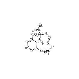 CCCOc1ccc(NCC)cc1.O=C(O)c1cccc(C(=O)O)c1